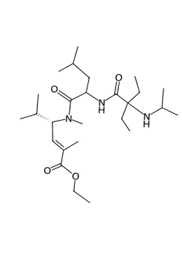 CCOC(=O)/C(C)=C/[C@H](C(C)C)N(C)C(=O)C(CC(C)C)NC(=O)C(CC)(CC)NC(C)C